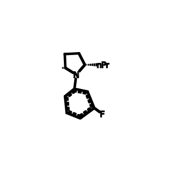 CCC[C@H]1CC[CH]N1c1cccc(F)c1